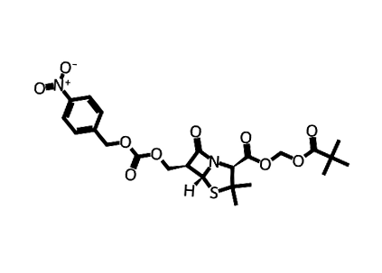 CC(C)(C)C(=O)OCOC(=O)[C@@H]1N2C(=O)[C@H](COC(=O)OCc3ccc([N+](=O)[O-])cc3)[C@H]2SC1(C)C